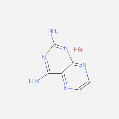 Br.Nc1nc(N)c2nccnc2n1